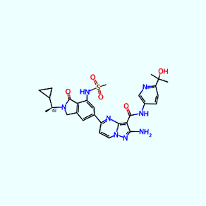 C[C@@H](C1CC1)N1Cc2cc(-c3ccn4nc(N)c(C(=O)Nc5ccc(C(C)(C)O)nc5)c4n3)cc(NS(C)(=O)=O)c2C1=O